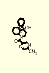 Cc1cnc(C(=O)N2CC[C@@](O)(c3ccccc3)[C@@H]3CCCCC32)cn1